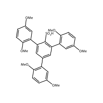 COc1ccc(OC)c(-c2cc(-c3cc(OC)ccc3OC)c(S(=O)(=O)O)c(-c3cc(OC)ccc3OC)c2)c1